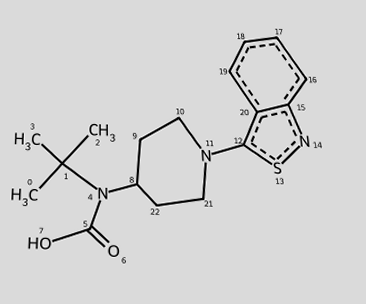 CC(C)(C)N(C(=O)O)C1CCN(c2snc3ccccc23)CC1